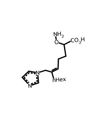 CCCCCC/C(=C/CCC(ON)C(=O)O)Cn1ccnc1